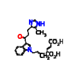 C=CCn1cc(C(=O)CCc2nc[nH]c2C)c2ccccc21.O=C(O)C=CC(=O)O